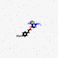 CCCCNc1nc(N)ncc1OCCCc1ccc(OC)cc1